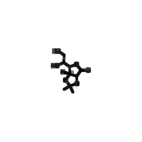 CC1(C)OC2C(=O)OC(C(O)CO)[C@H]2O1